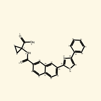 O=C(NC1(C(=O)O)CC1)c1ccc2ccc(-c3nc(-c4ccccc4)cs3)cc2c1